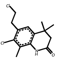 Cc1c(Cl)c(CCCl)cc2c1NC(=O)CC2(C)C